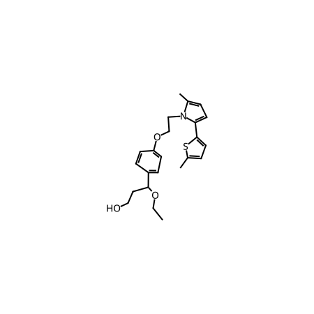 CCOC(CCO)c1ccc(OCCn2c(C)ccc2-c2ccc(C)s2)cc1